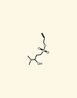 C=CCOS(=O)(=O)CCC(O)N(C)C